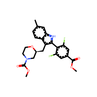 COC(=O)c1cc(F)c(-c2[nH]c3cc(C)ccc3c2C[C@H]2CN(C(=O)OC)CCO2)c(F)c1